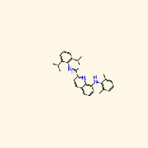 C/C(=N\c1c(C(C)C)cccc1C(C)C)c1ccc2cccc(Nc3c(C)cccc3C)c2n1